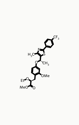 CCO[C@@H](Cc1ccc(O[C@@H](C)c2sc(-c3ccc(C(F)(F)F)cc3)nc2C)cc1OC)C(=O)OC